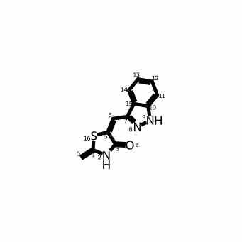 C=c1[nH]c(=O)/c(=C\c2n[nH]c3ccccc23)s1